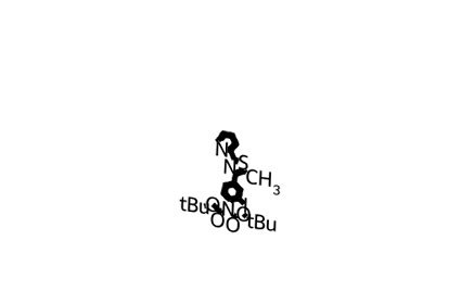 Cc1sc(-c2ccccn2)nc1-c1ccc(N(C(=O)OC(C)(C)C)C(=O)OC(C)(C)C)c(I)c1